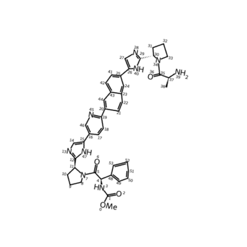 COC(=O)N[C@@H](C(=O)N1CCC[C@H]1c1ncc(-c2ccc(-c3ccc4cc(-c5cnc([C@@H]6CCCN6C(=O)[C@H](C)N)[nH]5)ccc4c3)nc2)[nH]1)c1ccccc1